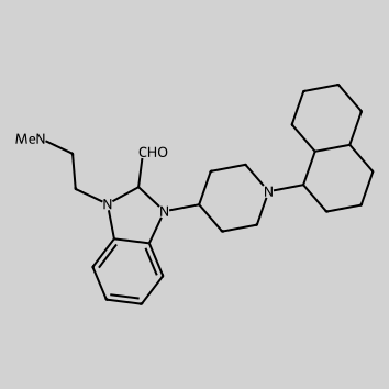 CNCCN1c2ccccc2N(C2CCN(C3CCCC4CCCCC43)CC2)C1C=O